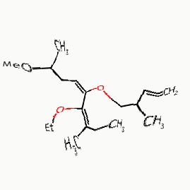 C=CC(C)CO/C(=C/CC(C)OC)C(OCC)=C(C)C